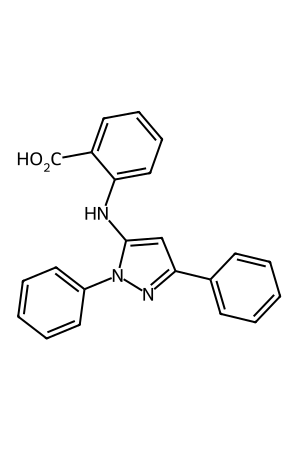 O=C(O)c1ccccc1Nc1cc(-c2ccccc2)nn1-c1ccccc1